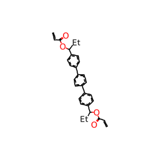 C=CC(=O)OC(CC)c1ccc(-c2ccc(-c3ccc(C(CC)OC(=O)C=C)cc3)cc2)cc1